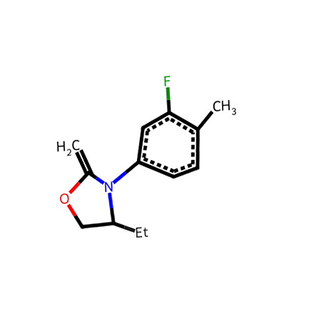 C=C1OCC(CC)N1c1ccc(C)c(F)c1